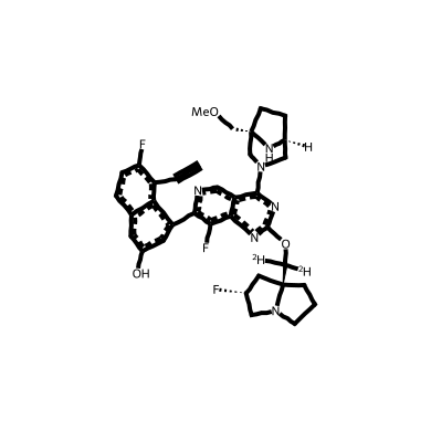 [2H]C([2H])(Oc1nc(N2C[C@@H]3CC[C@](COC)(C2)N3)c2cnc(-c3cc(O)cc4ccc(F)c(C#C)c34)c(F)c2n1)[C@@]12CCCN1C[C@H](F)C2